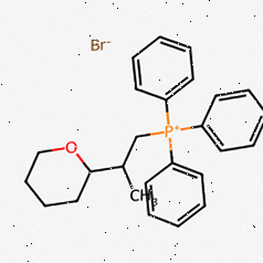 CC(C[P+](c1ccccc1)(c1ccccc1)c1ccccc1)C1CCCCO1.[Br-]